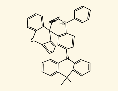 CC1(C)c2ccccc2N(c2ccc3c(c2)C2(c4ccccc4Sc4ccccc42)c2ccccc2[SiH]3c2ccccc2)c2ccccc21